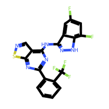 Fc1cc(F)c2[nH]nc(Nc3nc(-c4ccccc4C(F)(F)F)nc4sncc34)c2c1